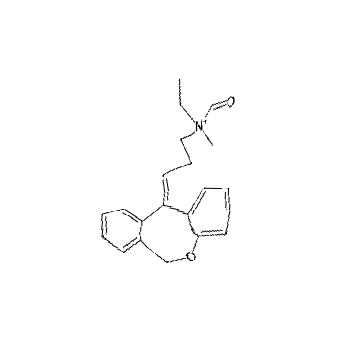 CC[N+](C)(C=O)CCC=C1c2ccccc2COc2ccccc21